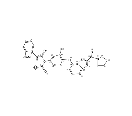 COc1ccccc1NC(=O)C(C(N)=O)c1ccc(Oc2ccnc3cc(C(=O)N4CCCC4)sc23)c(F)c1